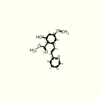 COC(=O)c1c(O)cc(OC)cc1C=Cc1ccccn1